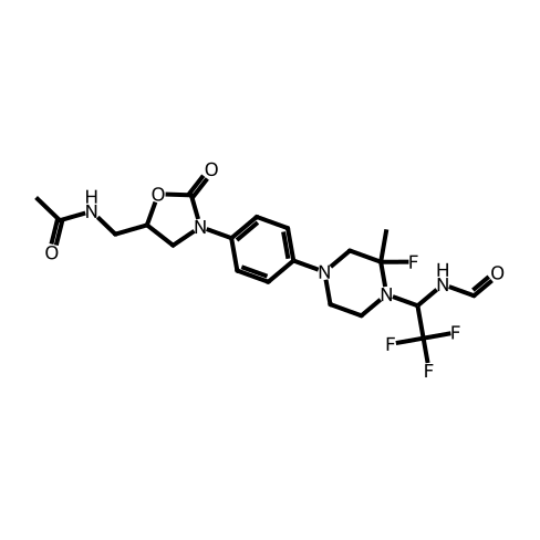 CC(=O)NCC1CN(c2ccc(N3CCN(C(NC=O)C(F)(F)F)C(C)(F)C3)cc2)C(=O)O1